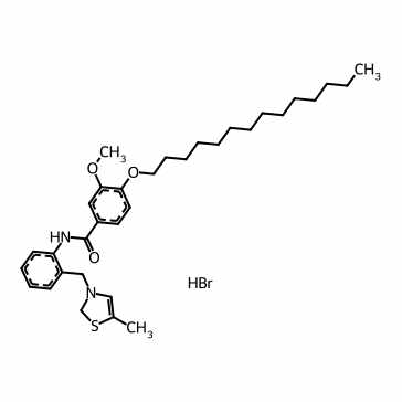 Br.CCCCCCCCCCCCCCOc1ccc(C(=O)Nc2ccccc2CN2C=C(C)SC2)cc1OC